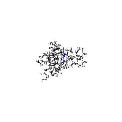 C=Cc1ccc(CC2(c3ccccc3)c3ccccc3-c3ccc(N(c4ccccc4)c4ccc5c(c4)C4(c6ccccc6-5)c5ccccc5-c5ccc(N(c6ccccc6)c6ccc7c(c6)C(Cc6ccc(C=C)cc6)(c6ccccc6)c6ccccc6-7)cc54)cc32)cc1